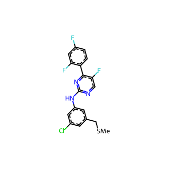 CSCc1cc(Cl)cc(Nc2ncc(F)c(-c3ccc(F)cc3F)n2)c1